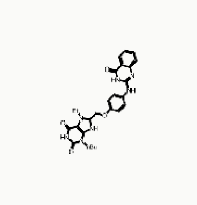 CCCCn1c2c(c(=O)[nH]c1=O)N(CC)C(COc1ccc(Nc3nc4ccccc4c(=O)[nH]3)cc1)N2